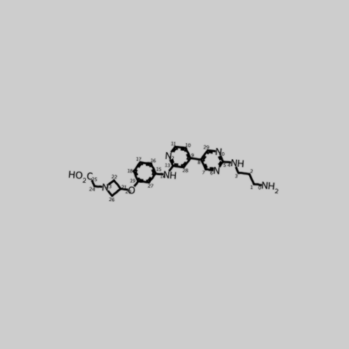 NCCCNc1ncc(-c2ccnc(Nc3cccc(OC4CN(CC(=O)O)C4)c3)c2)cn1